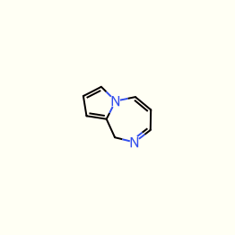 C1=Cn2cccc2CN=C1